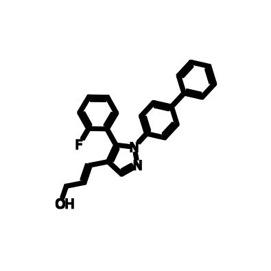 OCC=Cc1cnn(-c2ccc(-c3ccccc3)cc2)c1-c1ccccc1F